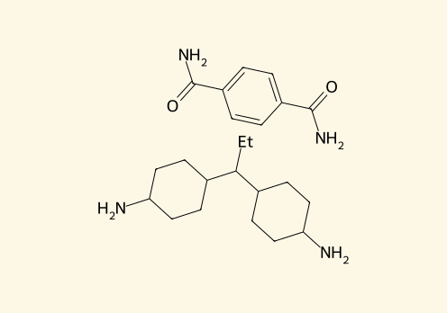 CCC(C1CCC(N)CC1)C1CCC(N)CC1.NC(=O)c1ccc(C(N)=O)cc1